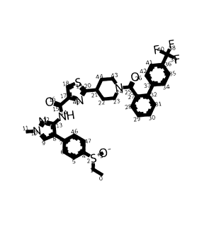 CC[S+]([O-])c1ccc(-c2cn(C)nc2NC(=O)c2csc(C3CCN(C(=O)c4ccccc4-c4ccc(C(F)(F)F)cc4)CC3)n2)cc1